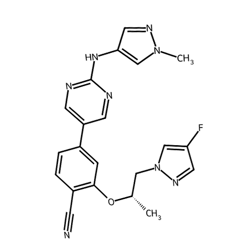 C[C@@H](Cn1cc(F)cn1)Oc1cc(-c2cnc(Nc3cnn(C)c3)nc2)ccc1C#N